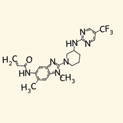 C=CC(=O)Nc1cc2nc(N3CCCC(Nc4ncc(C(F)(F)F)cn4)C3)n(C)c2cc1C